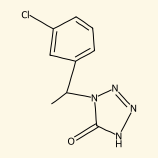 CC(c1cccc(Cl)c1)n1nn[nH]c1=O